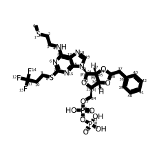 CSCCNc1nc(SCCC(F)(F)F)nc2c1ncn2[C@@H]1O[C@H](COP(=O)(O)OP(=O)(O)O)[C@H]2OC(Cc3ccccc3)O[C@H]21